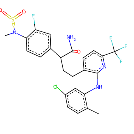 Cc1ccc(Cl)cc1Nc1nc(C(F)(F)F)ccc1CCC(C(N)=O)c1ccc(N(C)[SH](=O)=O)c(F)c1